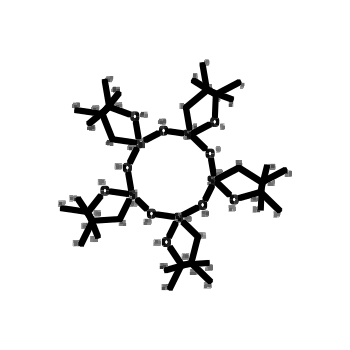 CC(C)C[Si]1(OC(C)C)O[Si](CC(C)C)(OC(C)C)O[Si](CC(C)C)(OC(C)C)O[Si](CC(C)C)(OC(C)C)O[Si](CC(C)C)(OC(C)C)O1